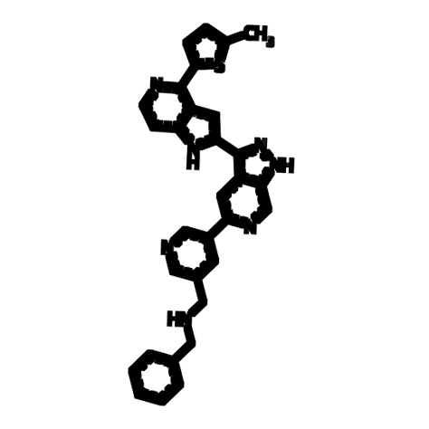 Cc1ccc(-c2nccc3[nH]c(-c4n[nH]c5cnc(-c6cncc(CNCc7ccccc7)c6)cc45)cc23)s1